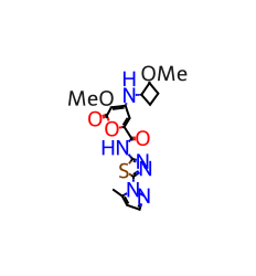 COc1c(N[C@@H]2CC[C@@H]2OC)cc(C(=O)Nc2nnc(-n3nccc3C)s2)oc1=O